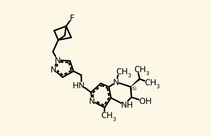 Cc1nc(NCc2cnn(CC34CC(F)(C3)C4)c2)cc2c1NC(O)[C@H](C(C)C)N2C